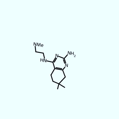 CNCCNc1nc(N)nc2c1CCC(C)(C)C2